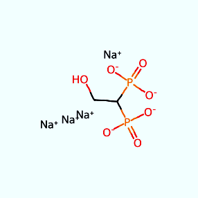 O=P([O-])([O-])C(CO)P(=O)([O-])[O-].[Na+].[Na+].[Na+].[Na+]